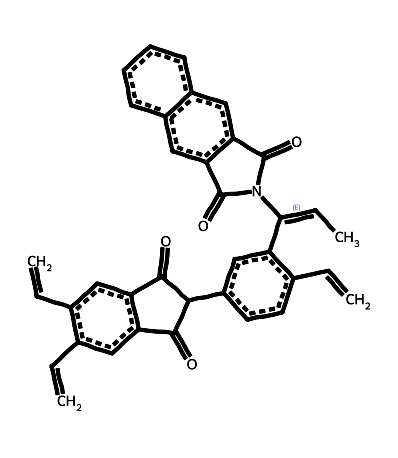 C=Cc1cc2c(cc1C=C)C(=O)C(c1ccc(C=C)c(/C(=C\C)N3C(=O)c4cc5ccccc5cc4C3=O)c1)C2=O